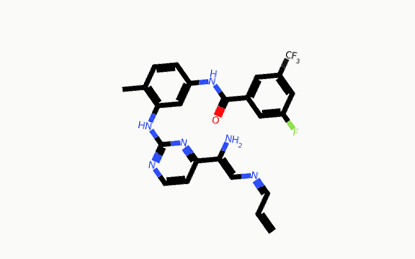 C=C/C=N\C=C(/N)c1ccnc(Nc2cc(NC(=O)c3cc(F)cc(C(F)(F)F)c3)ccc2C)n1